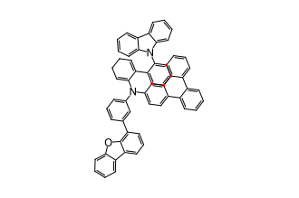 C1=C(c2ccccc2-n2c3ccccc3c3ccccc32)C(N(c2cccc(-c3cccc4c3oc3ccccc34)c2)c2ccc3c4ccccc4c4ccccc4c3c2)=CCC1